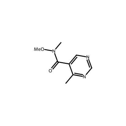 CON(C)C(=O)c1cncnc1C